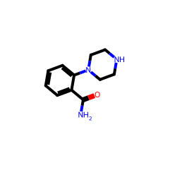 NC(=O)c1ccccc1N1CCNCC1